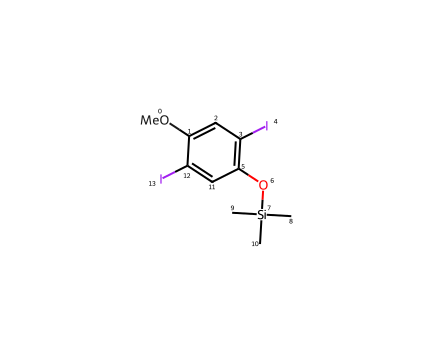 COc1cc(I)c(O[Si](C)(C)C)cc1I